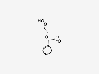 OOCCOC(c1ccccc1)C1CO1